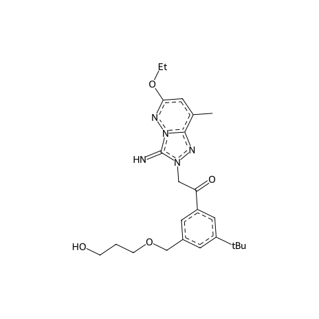 CCOc1cc(C)c2nn(CC(=O)c3cc(COCCCO)cc(C(C)(C)C)c3)c(=N)n2n1